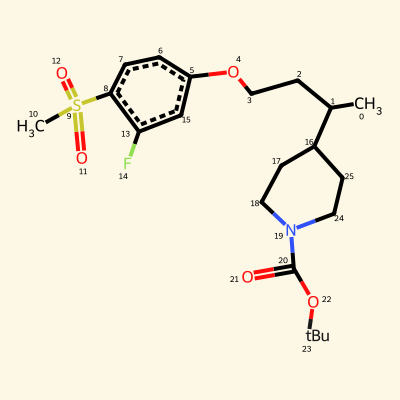 CC(CCOc1ccc(S(C)(=O)=O)c(F)c1)C1CCN(C(=O)OC(C)(C)C)CC1